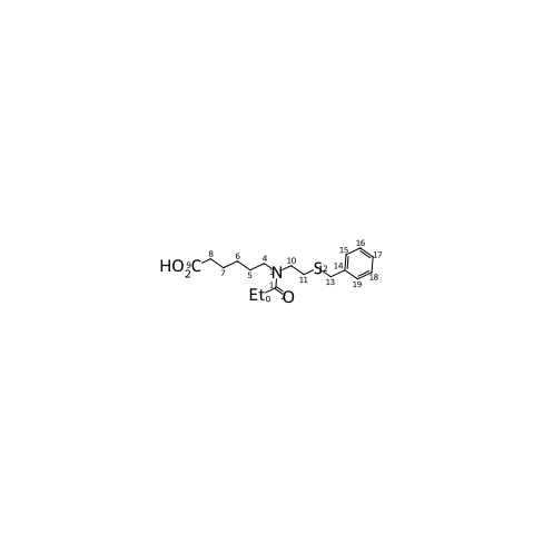 CCC(=O)N(CCCCCC(=O)O)CCSCc1ccccc1